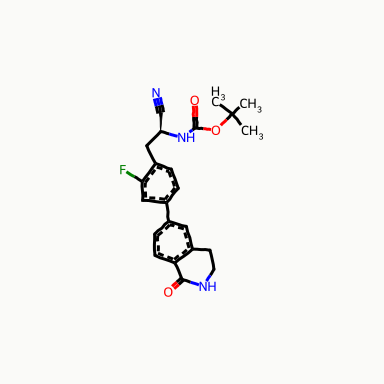 CC(C)(C)OC(=O)N[C@H](C#N)Cc1ccc(-c2ccc3c(c2)CCNC3=O)cc1F